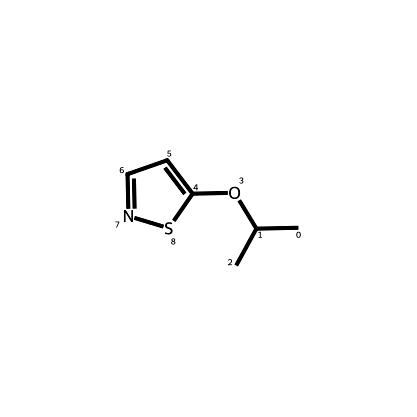 CC(C)Oc1ccns1